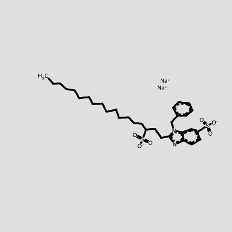 CCCCCCCCCCCCCCCC(CCc1nc2ccc(S(=O)(=O)[O-])cc2n1Cc1ccccc1)S(=O)(=O)[O-].[Na+].[Na+]